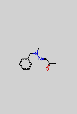 CC(=O)C=NN(C)Cc1ccccc1